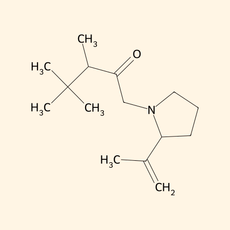 C=C(C)C1CCCN1CC(=O)C(C)C(C)(C)C